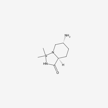 C[Si]1(C)NC(=O)[C@@H]2CC[C@@H](N)CN21